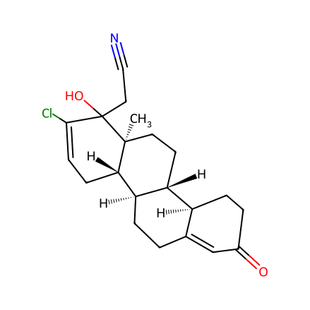 C[C@]12CC[C@H]3[C@@H](CCC4=CC(=O)CC[C@@H]43)[C@@H]1CC=C(Cl)C2(O)CC#N